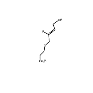 O=C(O)CCOCC(F)=CCO